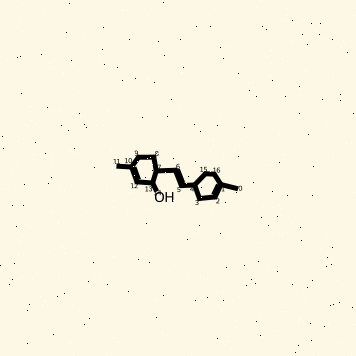 CC1=CCC(C=CC2CCC(C)=CC2O)CC1